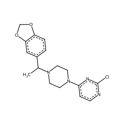 CC(c1ccc2c(c1)OCO2)N1CCN(c2ccnc(Cl)n2)CC1